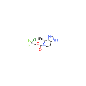 CC(C)C1c2nc[nH]c2CCN1C(=O)OCC(F)(F)Cl